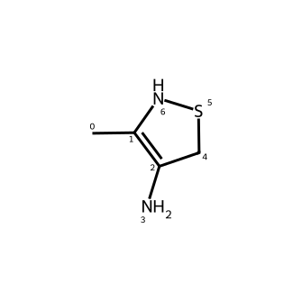 CC1=C(N)CSN1